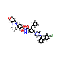 O=C(NS(=O)(=O)c1ccc(NCC2CCOCC2)c([N+](=O)[O-])c1)c1ccc(N2CCN(Cc3ccccc3-c3ccc(Cl)cc3)CC2)cc1Cc1ccccc1